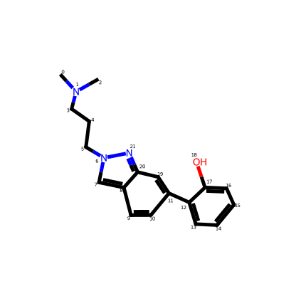 CN(C)CCCn1cc2ccc(-c3ccccc3O)cc2n1